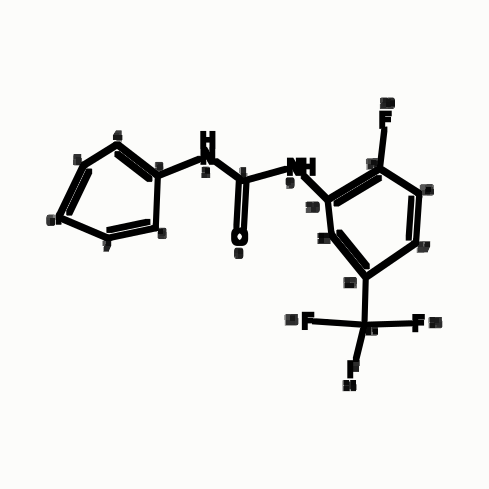 O=C(Nc1cc[c]cc1)Nc1cc(C(F)(F)F)ccc1F